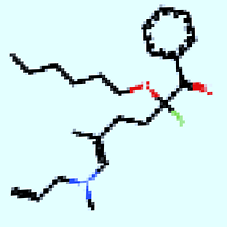 C=CCN(C)C=C(C)CCC(F)(OCCCCCC)C(=O)c1ccccc1